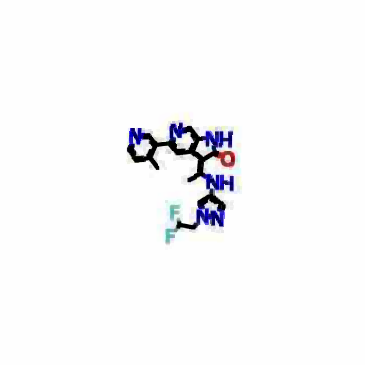 C/C(Nc1cnn(CC(F)F)c1)=C1/C(=O)Nc2cnc(-c3cnccc3C)cc21